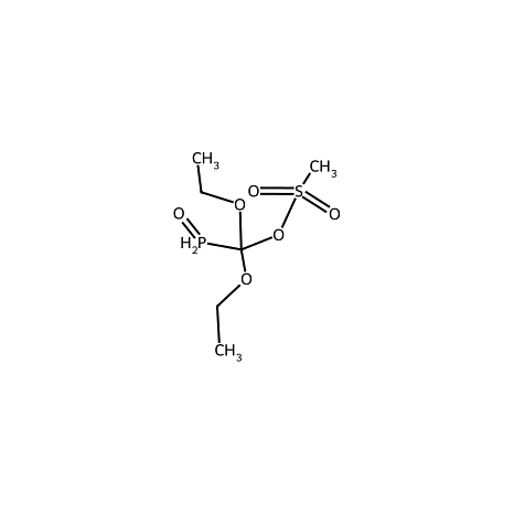 CCOC(OCC)(OS(C)(=O)=O)[PH2]=O